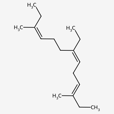 CCC(C)=CCC=C(CC)CCC=C(C)CC